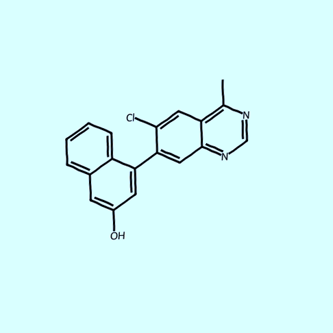 Cc1ncnc2cc(-c3cc(O)cc4ccccc34)c(Cl)cc12